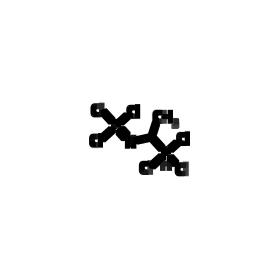 CC(N=P(Cl)(Cl)Cl)[PH](Cl)(Cl)Cl